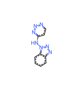 c1ccc2c(c1)nnn2Nc1ccnnn1